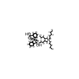 CCCCC[N+](CCCCC)(CCCCC)CCCCC.O=C(O)c1ccccc1S(=O)(=O)c1ccccc1C(=O)O